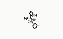 Cc1cccc(C(=O)NC(C#N)c2ccc[nH]2)c1